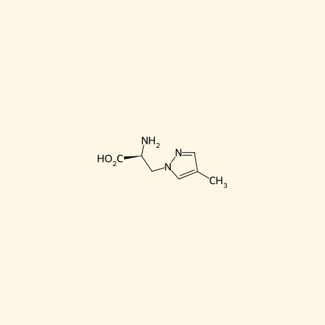 Cc1cnn(C[C@H](N)C(=O)O)c1